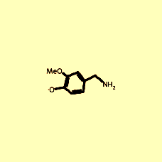 COc1cc(CN)ccc1[O]